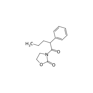 CCCC(C(=O)N1CCOC1=O)c1ccccc1